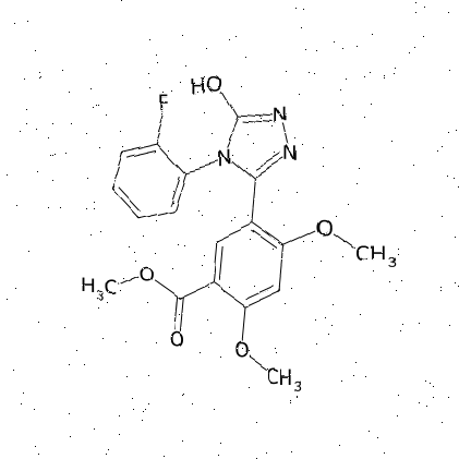 COC(=O)c1cc(-c2nnc(O)n2-c2ccccc2F)c(OC)cc1OC